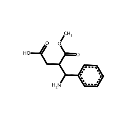 COC(=O)C(CC(=O)O)C(N)c1ccccc1